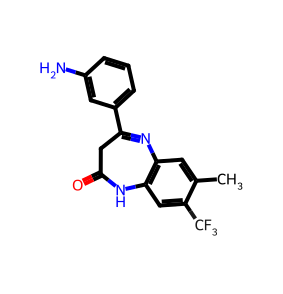 Cc1cc2c(cc1C(F)(F)F)NC(=O)CC(c1cccc(N)c1)=N2